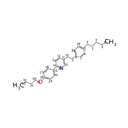 CCCCCc1ccc(CCc2ccc(-c3ccc(OCCCC)cc3)nc2)cc1